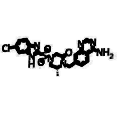 C[C@@H]1CN(S(=O)(=O)c2nc3ccc(Cl)cc3[nH]2)CC(=O)N1Cc1ccc2c(N)ncnc2c1